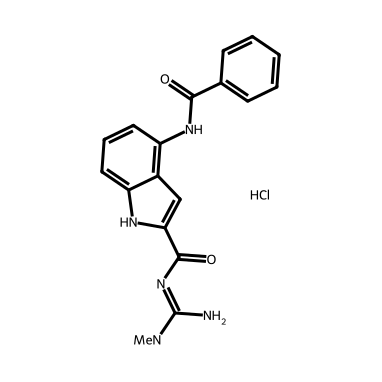 CNC(N)=NC(=O)c1cc2c(NC(=O)c3ccccc3)cccc2[nH]1.Cl